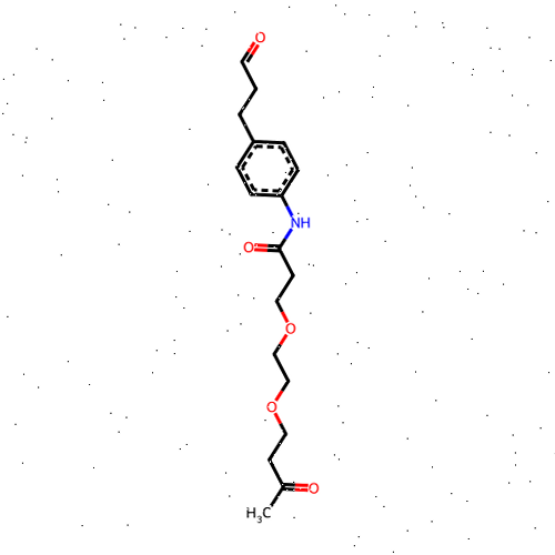 CC(=O)CCOCCOCCC(=O)Nc1ccc(CCC=O)cc1